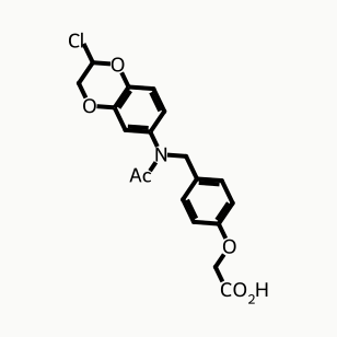 CC(=O)N(Cc1ccc(OCC(=O)O)cc1)c1ccc2c(c1)OCC(Cl)O2